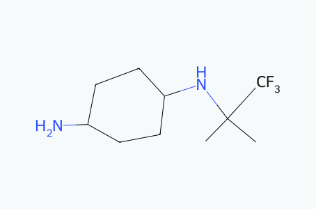 CC(C)(NC1CCC(N)CC1)C(F)(F)F